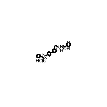 O=C(O)c1sc(-c2ccc(-c3ccc4c(c3)CC[C@H](CNC[C@@H](O)c3cccnc3)O4)cc2)nc1-c1ccccc1